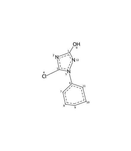 Oc1nc(Cl)n(-c2ccccc2)n1